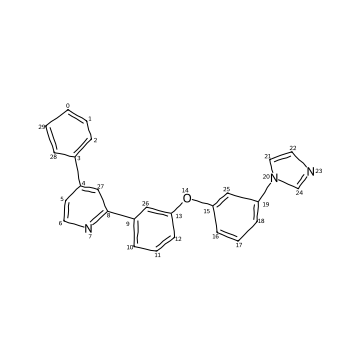 c1ccc(-c2ccnc(-c3cccc(Oc4cccc(-n5ccnc5)c4)c3)c2)cc1